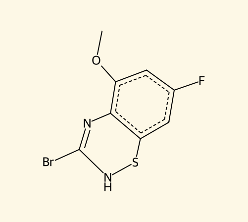 COc1cc(F)cc2c1N=C(Br)NS2